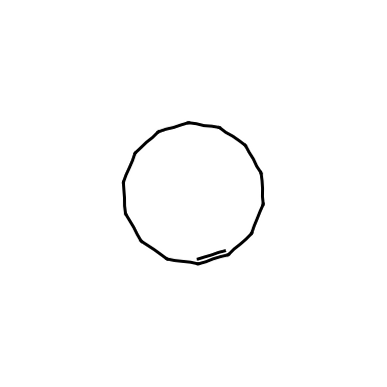 C1=CCCCCCCCCCCCC1